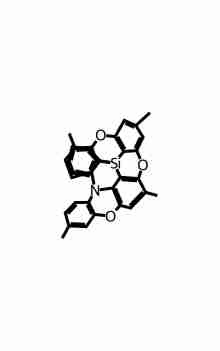 Cc1ccc2c(c1)Oc1cc(C)c3c4c1N2c1ccc(C)c2c1[Si]4(c1ccccc1)c1c(cc(C)cc1O3)O2